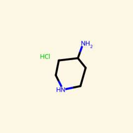 Cl.NC1CCNCC1